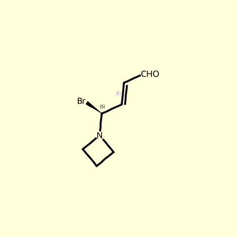 O=C/C=C/[C@H](Br)N1CCC1